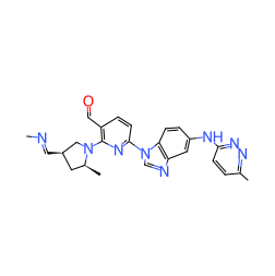 CN=C[C@@H]1C[C@H](C)N(c2nc(-n3cnc4cc(Nc5ccc(C)nn5)ccc43)ccc2C=O)C1